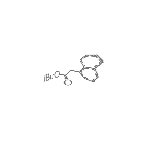 CC(C)COC(=O)Cc1cccc2ccccc12